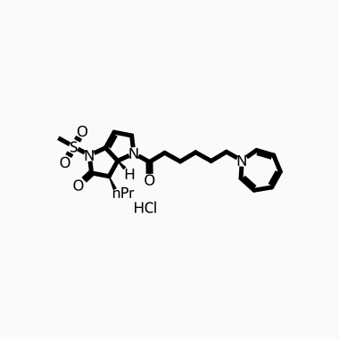 CCC[C@H]1C(=O)N(S(C)(=O)=O)C2=CCN(C(=O)CCCCCN3C=CC=CC=C3)[C@@H]21.Cl